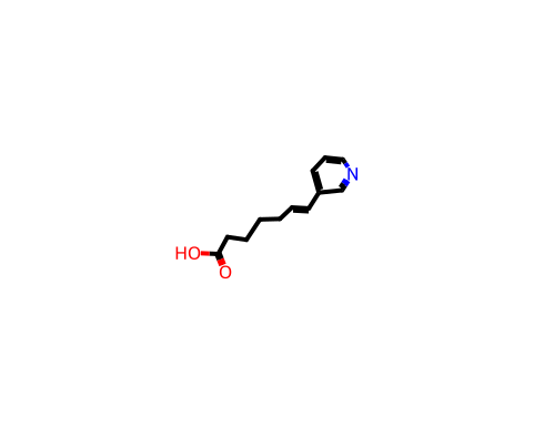 O=C(O)CCCC/C=C/c1cccnc1